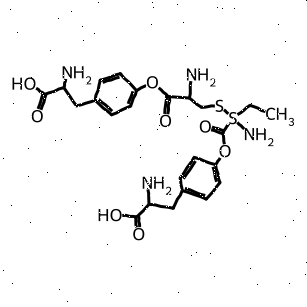 CCS(N)(SCC(N)C(=O)Oc1ccc(CC(N)C(=O)O)cc1)C(=O)Oc1ccc(CC(N)C(=O)O)cc1